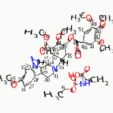 C=C(NC(=O)OCC)C(=O)O.COC(=O)[C@H]1[C@H]2C[C@@H]3c4[nH]c5cc(OC)ccc5c4CCN3C[C@H]2C[C@@H](OC(=O)c2cc(OC)c(OC)c(OC)c2)[C@@H]1OC